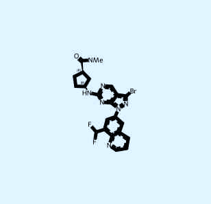 CNC(=O)[C@@H]1CC[C@@H](Nc2ncc3c(Br)nn(-c4cc(C(F)F)c5ncccc5c4)c3n2)C1